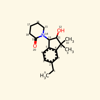 CCc1ccc2c(c1)C(C)(C)C(O)C2N1CCCCC1=O